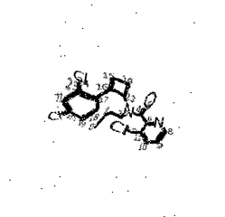 CCCN(C(=O)c1ncccc1Cl)C1CCC1c1ccc(Cl)cc1Cl